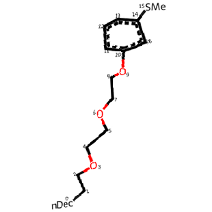 CCCCCCCCCCCCOCCOCCOc1cccc(SC)c1